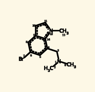 CN(C)Cc1cc(Br)cc2ccn(C)c12